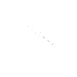 C[C@@H](O)[C@H](NC(=O)c1ccc(C#CC#Cc2ccc(CN3CCOCC3)s2)cc1)C(=O)NO